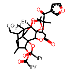 CCC12OC3(C)OC14C(C(C)(C)C(=O)c1ccoc1)CC(=O)OC4C1(OC(=O)C(C)C)C(OC(=O)C(C)C)C4(C)CC1(O3)C2(C)C4CC(=O)O